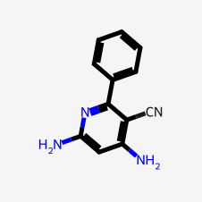 N#Cc1c(N)cc(N)nc1-c1ccccc1